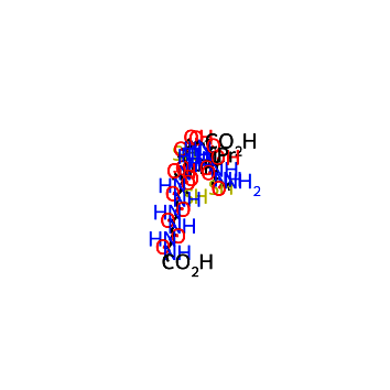 CC(C)C[C@H](NC(=O)[C@H](CS)NC(=O)[C@H](CO)NC(=O)[C@H](CC(=O)O)NC(=O)[C@@H](NC(=O)[C@@H](NC(=O)[C@H](CS)NC(=O)[C@H](C)N)[C@@H](C)O)C(C)C)C(=O)N[C@H](C(=O)N[C@@H](CS)C(=O)NCC(=O)NCC(=O)NCC(=O)NCC(=O)NCC(=O)O)[C@@H](C)O